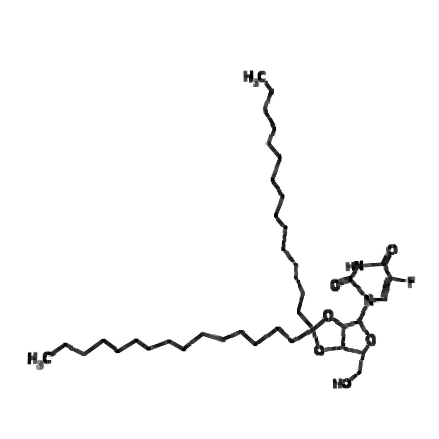 CCCCCCCCCCCCCCCC1(CCCCCCCCCCCCCCC)OC2C(CO)OC(n3cc(F)c(=O)[nH]c3=O)C2O1